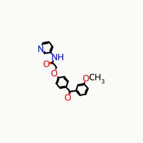 COc1cccc(C(=O)c2ccc(OCC(=O)Nc3cccnc3)cc2)c1